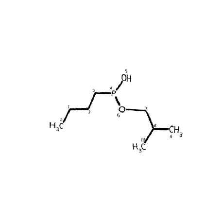 CCCCP(O)OCC(C)C